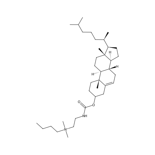 CCCC[N+](C)(C)CCNC(=O)OC1CC[C@@]2(C)C(=CC[C@H]3[C@@H]4CC[C@H]([C@H](C)CCCC(C)C)[C@@]4(C)CC[C@@H]32)C1